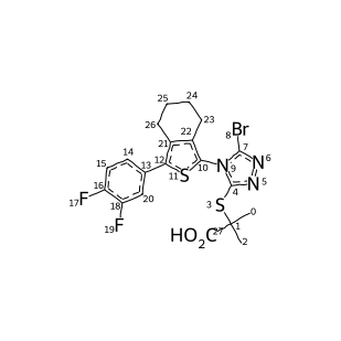 CC(C)(Sc1nnc(Br)n1-c1sc(-c2ccc(F)c(F)c2)c2c1CCCC2)C(=O)O